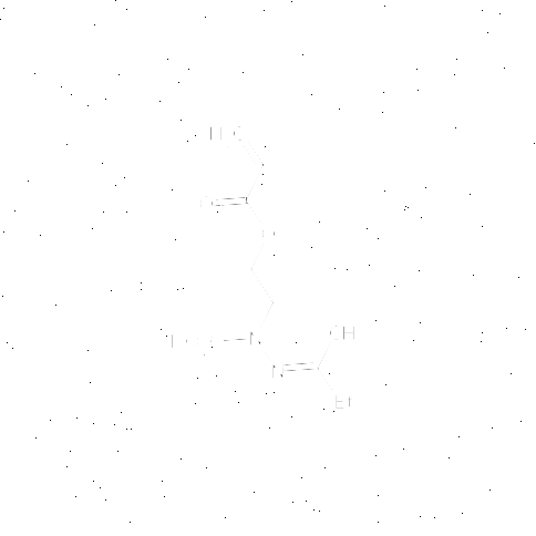 C=CC(=O)OCCN(N=C(C)CC)C(=O)O